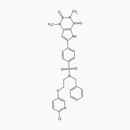 Cn1c(=O)c2[nH]c(-c3ccc(S(=O)(=O)N(CCOc4ccc(Cl)nc4)Cc4ccccc4)cc3)cc2n(C)c1=O